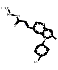 Cc1cc2ncc(/C=C/C(=O)NNC(=O)O)cc2n1-c1ccc(C#N)cc1